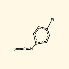 C[CH]c1ccc(N=C=S)cc1